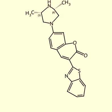 C[C@@H]1CN(c2ccc3cc(-c4nc5ccccc5s4)c(=O)oc3c2)C[C@H](C)N1